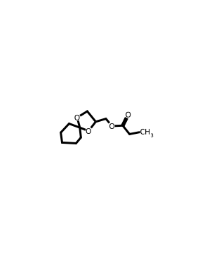 CCC(=O)OCC1COC2(CCCCC2)O1